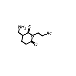 CC(=O)CCN1C(=O)CCC(CN)C1=S